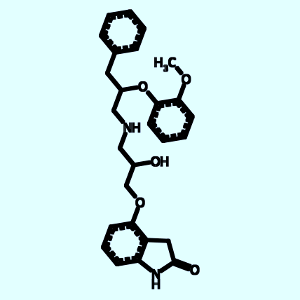 COc1ccccc1OC(CNCC(O)COc1cccc2c1CC(=O)N2)Cc1ccccc1